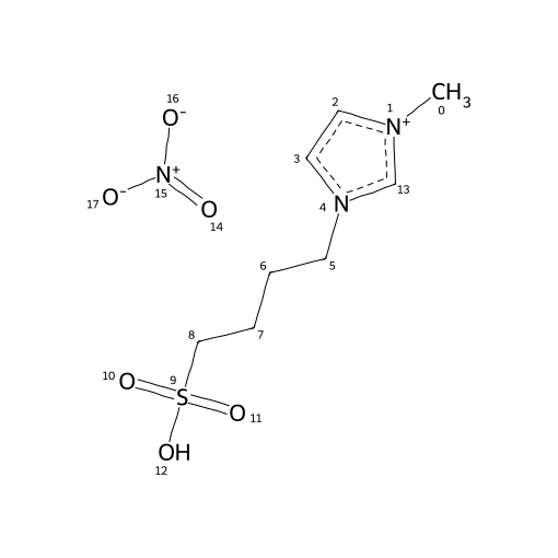 C[n+]1ccn(CCCCS(=O)(=O)O)c1.O=[N+]([O-])[O-]